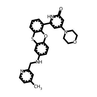 Cc1ccnc(CNc2ccc3c(c2)Sc2cccc(-c4cc(N5CCOCC5)cc(=O)[nH]4)c2O3)c1